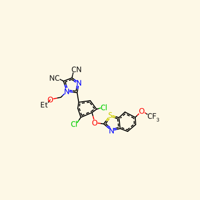 CCOCn1c(-c2cc(Cl)c(Oc3nc4ccc(OC(F)(F)F)cc4s3)c(Cl)c2)nc(C#N)c1C#N